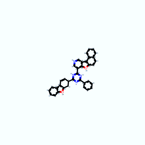 C1=CC(c2nc(-c3ccccc3)nc(-c3cncc4c3oc3ccc5ccccc5c34)n2)Cc2oc3ccccc3c21